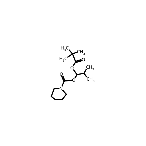 CC(C)C(OC(=O)N1CCCCC1)OC(=O)C(C)(C)C